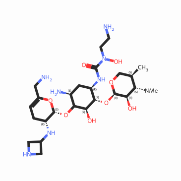 CN[C@@H]1[C@@H](O)[C@@H](O[C@H]2[C@H](NC(=O)N(O)CCN)C[C@H](N)C(O[C@H]3OC(CN)=CC[C@H]3NC3CNC3)[C@@H]2O)OC[C@H]1C